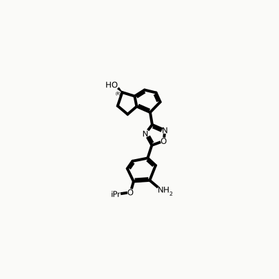 CC(C)Oc1ccc(-c2nc(-c3cccc4c3CC[C@H]4O)no2)cc1N